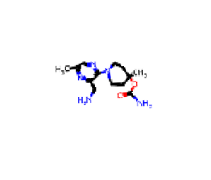 Cc1cnc(N2CCC(C)(OC(N)=O)CC2)c(CN)n1